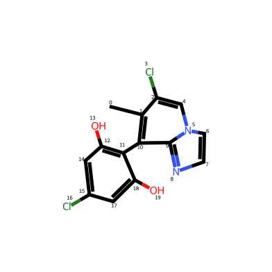 Cc1c(Cl)cn2ccnc2c1-c1c(O)cc(Cl)cc1O